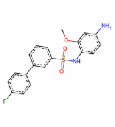 COc1cc(N)ccc1NS(=O)(=O)c1cccc(-c2ccc(F)cc2)c1